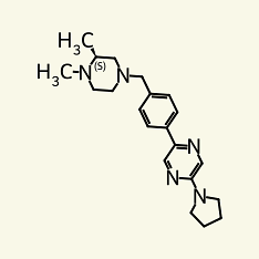 C[C@H]1CN(Cc2ccc(-c3cnc(N4CCCC4)cn3)cc2)CCN1C